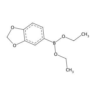 CCOB(OCC)c1ccc2c(c1)OCO2